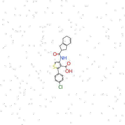 O=C(O)c1c(NC(=O)C2CC3=C(CCC=C3)C2)csc1-c1ccc(Cl)cc1